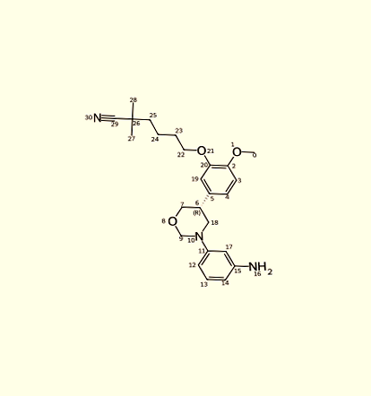 COc1ccc([C@H]2COCN(c3cccc(N)c3)C2)cc1OCCCCC(C)(C)C#N